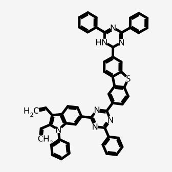 C=Cc1c(C=C)n(-c2ccccc2)c2cc(-c3nc(-c4ccccc4)nc(-c4ccc5sc6cc(C7N=C(c8ccccc8)N=C(c8ccccc8)N7)ccc6c5c4)n3)ccc12